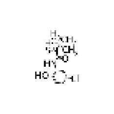 CC(C)(C)N(S)C(=O)Nc1cc(Cl)ccc1O